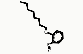 CCCCCCCCOc1ccccc1P=O